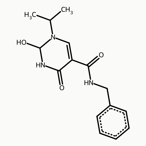 CC(C)N1C=C(C(=O)NCc2ccccc2)C(=O)NC1O